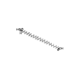 O=C(O)CCCCCCCCCCCCCCCCCCCCCCCCCCCCCCCCC(=O)NO